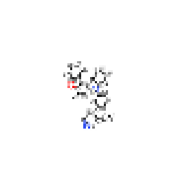 N#Cc1cnccc1-c1cccc(-n2c3ccccc3c3c4c(ccc32)oc2ccccc24)c1